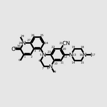 Cc1cc2c(N3CCN(C)c4cc(N5CCN(I)CC5)c(C#N)cc43)cccc2n(C)c1=O